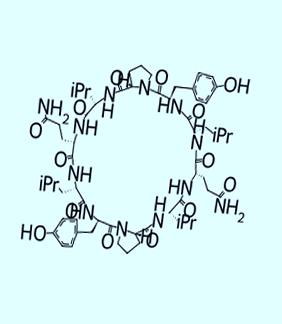 CC(C)C[C@@H]1NC(=O)[C@H](CCC(N)=O)NC(=O)[C@H](C(C)C)NC(=O)[C@@H]2CCCN2C(=O)[C@@H](Cc2ccc(O)cc2)NC(=O)[C@H](CC(C)C)NC(=O)[C@H](CCC(N)=O)NC(=O)[C@H](C(C)C)NC(=O)[C@@H]2CCCN2C(=O)[C@@H](Cc2ccc(O)cc2)NC1=O